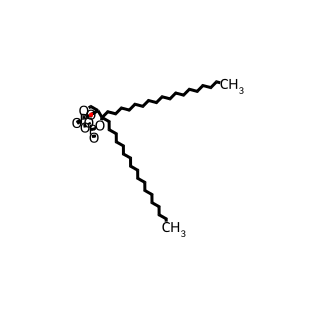 CCCCCCCCCCCCCCCCCCC1(CCCCCCCCCCCCCCCCCC)OP2(=O)OCC13COP(=O)(OC3)O2